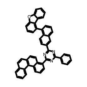 c1ccc(-c2nc(-c3ccc4c(-c5cccc6oc7ccccc7c56)cccc4c3)nc(-c3cccc4c3ccc3ccc5ccccc5c34)n2)cc1